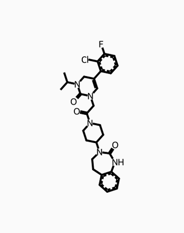 CC(C)N1CC(c2cccc(F)c2Cl)=CN(CC(=O)N2CCC(N3CCc4ccccc4NC3=O)CC2)C1=O